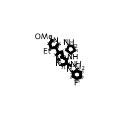 CCc1cc(OC)ncc1-c1cc2c(N[C@@H]3CC[C@H](N)C3)c(/C(N)=N/c3cc(F)ccc3Cl)cnn2c1